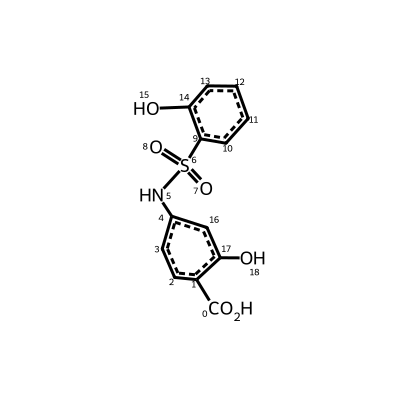 O=C(O)c1ccc(NS(=O)(=O)c2ccccc2O)cc1O